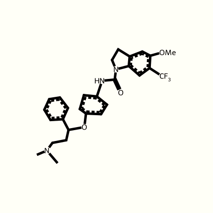 COc1cc2c(cc1C(F)(F)F)N(C(=O)Nc1ccc(OC(CCN(C)C)c3ccccc3)cc1)CC2